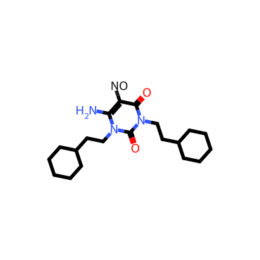 Nc1c(N=O)c(=O)n(CCC2CCCCC2)c(=O)n1CCC1CCCCC1